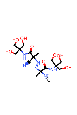 [C-]#[N+]C(C)(/N=N/C(C)(C#N)C(=O)NC(CO)(CO)CO)C(=O)NC(CO)(CO)CO